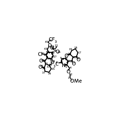 COCCOCc1nc(C(F)(F)F)ccc1C(=O)C1C(=O)CCCC1=O.CS(=O)(=O)c1ccc(C(=O)C2C(=O)CCCC2=O)c(Cl)c1COCC(F)(F)F